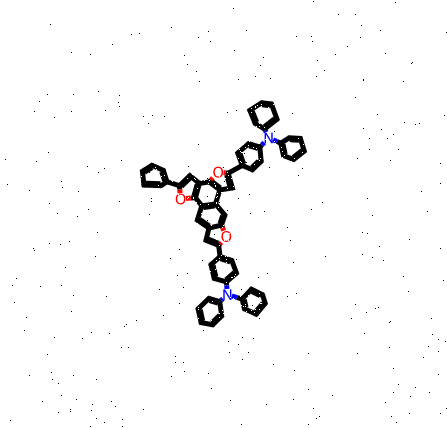 c1ccc(-c2cc3c4oc(-c5ccc(N(c6ccccc6)c6ccccc6)cc5)cc4c4cc5oc(-c6ccc(N(c7ccccc7)c7ccccc7)cc6)cc5cc4c3o2)cc1